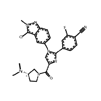 CN(C)[C@H]1CCN(C(=O)c2cn(-c3ccc4nn(C)c(Cl)c4c3)c(-c3ccc(C#N)c(F)c3)n2)C1